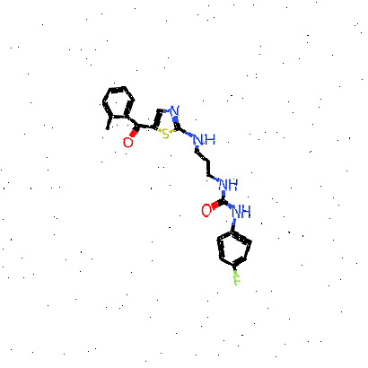 Cc1ccccc1C(=O)c1cnc(NCCCNC(=O)Nc2ccc(F)cc2)s1